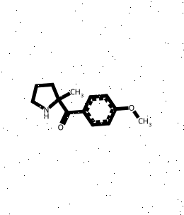 COc1ccc(C(=O)C2(C)CCCN2)cc1